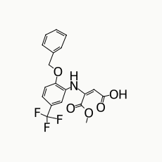 COC(=O)C(=CC(=O)O)Nc1cc(C(F)(F)F)ccc1OCc1ccccc1